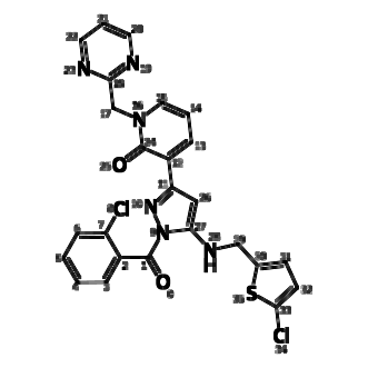 O=C(c1ccccc1Cl)n1nc(-c2cccn(Cc3ncccn3)c2=O)cc1NCc1ccc(Cl)s1